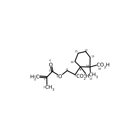 C=C(C)C(=O)OCCC1(C(=O)O)CCCCC1(C)C(=O)O